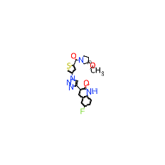 CO[C@H]1CCN(C(=O)c2cc(-n3cc(-c4cc5cc(F)ccc5[nH]c4=O)nn3)cs2)C1